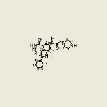 O=C(CN1CCNCC1)Nc1cc2c3c(c(-c4ccccc4)[nH]c3c1)C=NNC2=O